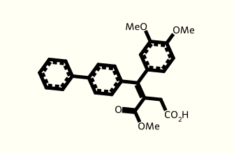 COC(=O)C(CC(=O)O)=C(c1ccc(-c2ccccc2)cc1)c1ccc(OC)c(OC)c1